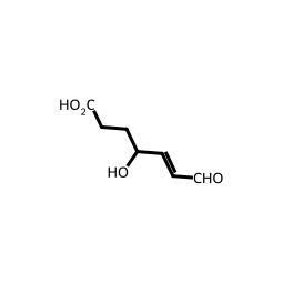 O=CC=CC(O)CCC(=O)O